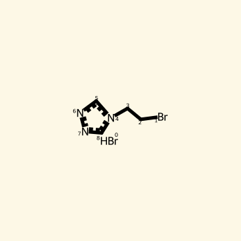 Br.BrCCn1cnnc1